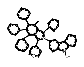 CCn1c2ccccc2c2cc(-n3c(-c4ccccc4)c4c(C)c(-c5ccccc5)c(-c5ccccc5)c(-c5ccccc5)c4c3-c3ccccc3)ccc21